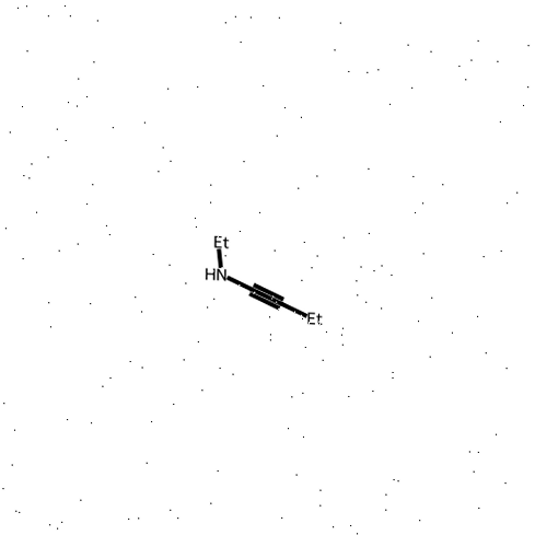 CCC#CNCC